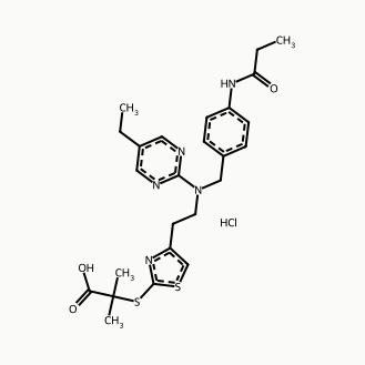 CCC(=O)Nc1ccc(CN(CCc2csc(SC(C)(C)C(=O)O)n2)c2ncc(CC)cn2)cc1.Cl